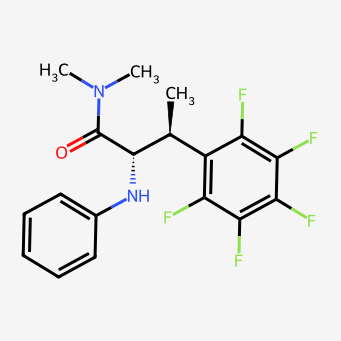 C[C@@H](c1c(F)c(F)c(F)c(F)c1F)[C@H](Nc1ccccc1)C(=O)N(C)C